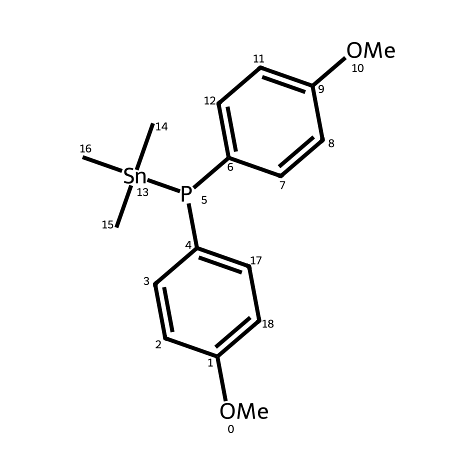 COc1ccc([P](c2ccc(OC)cc2)[Sn]([CH3])([CH3])[CH3])cc1